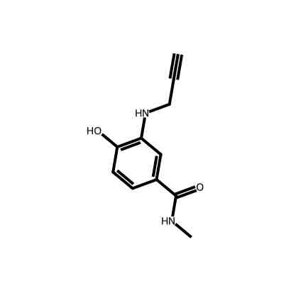 C#CCNc1cc(C(=O)NC)ccc1O